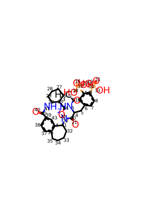 CC(=O)NC(Cc1ccc(P(=O)(O)O)c(P(=O)(O)O)c1)C(=O)N(OCC1CCCCC1)C1CCCCc2ccc(C(N)=O)cc21